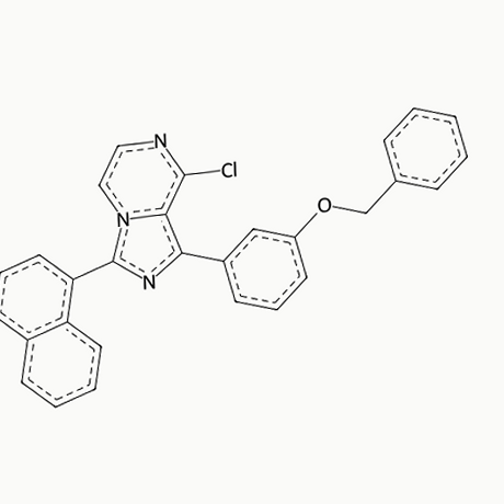 Clc1nccn2c(-c3cccc4ccccc34)nc(-c3cccc(OCc4ccccc4)c3)c12